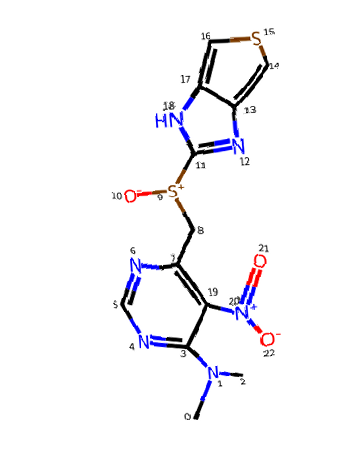 CN(C)c1ncnc(C[S+]([O-])c2nc3cscc3[nH]2)c1[N+](=O)[O-]